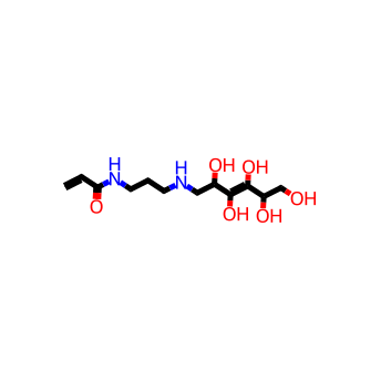 C=CC(=O)NCCCNCC(O)/C(O)=C(\O)C(O)CO